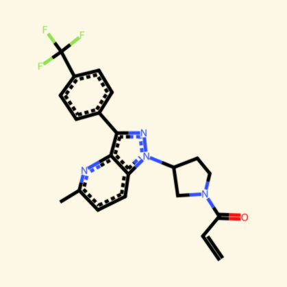 C=CC(=O)N1CCC(n2nc(-c3ccc(C(F)(F)F)cc3)c3nc(C)ccc32)C1